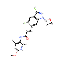 COc1cc(C)c(NC(=O)/C=C/c2cc3c(cc2F)c(F)nn3C2CCO2)c(C)n1